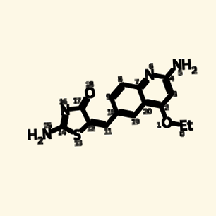 CCOc1cc(N)nc2ccc(C=C3SC(N)=NC3=O)cc12